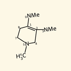 CNC1=C(NC)CN(C)CC1